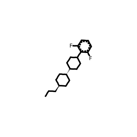 CCC[C@H]1CC[C@H](C2CCC(c3c(F)cccc3F)CC2)CC1